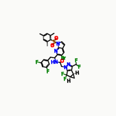 Cc1cc(C)c(S(=O)(=O)n2ccc3cc(Br)c(C(Cc4cc(F)cc(F)c4)NC(=O)Cn4nc(C(F)F)c5c4C(F)(F)[C@@H]4C[C@H]54)nc32)c(C)c1